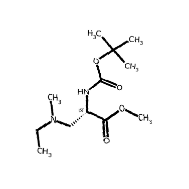 CCN(C)C[C@H](NC(=O)OC(C)(C)C)C(=O)OC